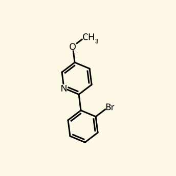 COc1ccc(-c2ccccc2Br)nc1